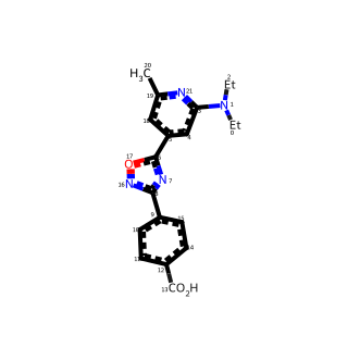 CCN(CC)c1cc(-c2nc(-c3ccc(C(=O)O)cc3)no2)cc(C)n1